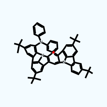 CC(C)(C)c1ccc2c(c1)c1cc(C(C)(C)C)cc3c4nc5c(cc4n2c13)c1cc(C(C)(C)C)cc2c3cc(C(C)(C)C)cc(N(c4ccccc4)c4ccccc4)c3n5c12